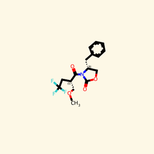 COC[C@H](CC(F)(F)F)C(=O)N1C(=O)OC[C@H]1Cc1ccccc1